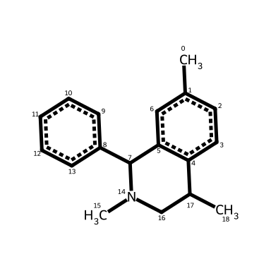 Cc1ccc2c(c1)C(c1ccccc1)N(C)CC2C